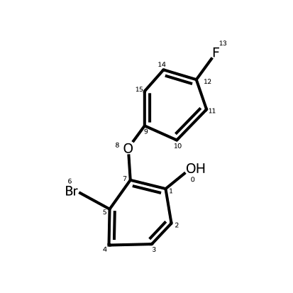 Oc1cccc(Br)c1Oc1ccc(F)cc1